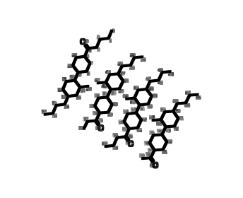 CCCCC(=O)C1CCC(C2CCC(CCCC)CC2C)CC1.CCCCC1CCC(C2CCC(C(=O)CC)CC2)C(C)C1.CCCCC1CCC(C2CCC(C(=O)CCC)CC2)C(C)C1.CCCCC1CCC(C2CCC(C(C)=O)CC2)C(C)C1